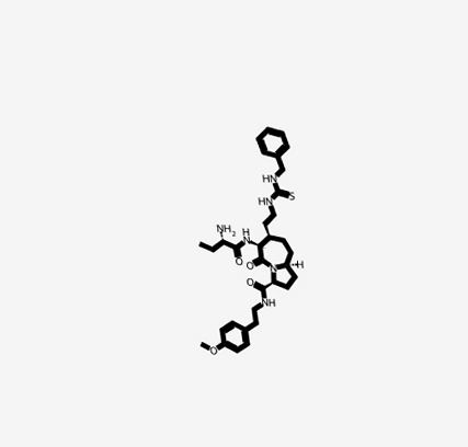 CC[C@H](N)C(=O)N[C@@H]1C(=O)N2[C@@H](CC[C@@H]1CCNC(=S)NCc1ccccc1)CC[C@H]2C(=O)NCCc1ccc(OC)cc1